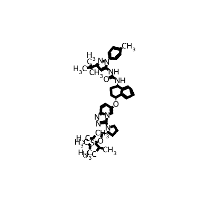 Cc1ccc(-n2nc(C(C)(C)C)cc2NC(=O)N[C@H]2CC[C@@H](Oc3ccc4nnc(N5CCC[C@H]5CO[Si](C(C)C)(C(C)C)C(C)C)n4c3)c3ccccc32)cc1